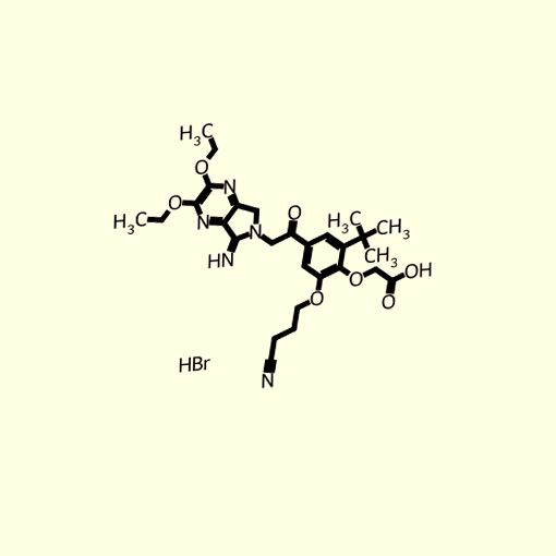 Br.CCOc1nc2c(nc1OCC)C(=N)N(CC(=O)c1cc(OCCCC#N)c(OCC(=O)O)c(C(C)(C)C)c1)C2